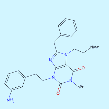 CCCn1c(=O)c2c(nc(Cc3ccccc3)n2CCNC)n(CCc2cccc(N)c2)c1=O